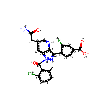 Cc1cccc(Cl)c1C(=O)n1nc(-c2ccc(C(=O)O)cc2F)c2ncc(CC(N)=O)cc21